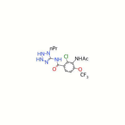 CCCN1NNN=C1NC(=O)c1ccc(OC(F)(F)F)c(NC(C)=O)c1Cl